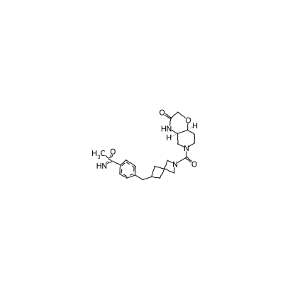 CS(=N)(=O)c1ccc(CC2CC3(C2)CN(C(=O)N2CC[C@@H]4OCC(=O)N[C@@H]4C2)C3)cc1